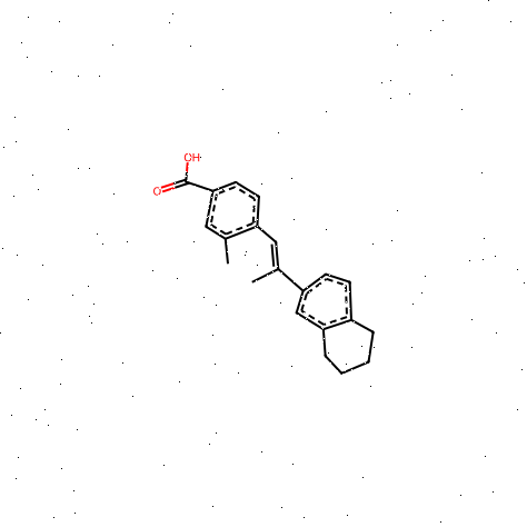 C/C(=C\c1ccc(C(=O)O)cc1C)c1ccc2c(c1)CCCC2